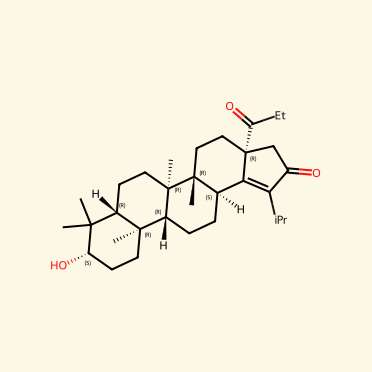 CCC(=O)[C@@]12CC[C@]3(C)[C@H](CC[C@@H]4[C@@]5(C)CC[C@H](O)C(C)(C)[C@@H]5CC[C@]43C)C1=C(C(C)C)C(=O)C2